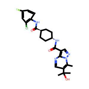 Cc1c(C(C)(C)O)cnc2c(C(=O)N[C@H]3CC[C@H](C(=O)Nc4ccc(F)cc4Cl)CC3)cnn12